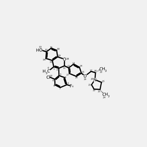 CC1=C(c2cc(F)ccc2Cl)C(c2ccc(OC[C@H](C)N3CC[C@@H](C)C3)cc2)Oc2ccc(O)cc21